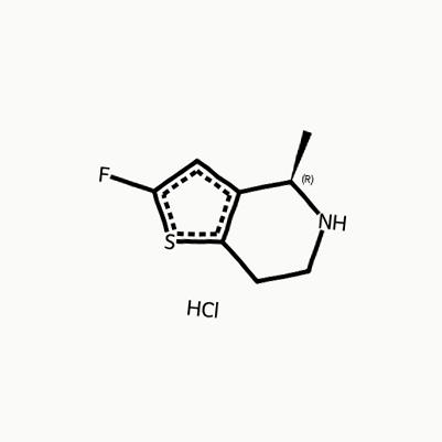 C[C@H]1NCCc2sc(F)cc21.Cl